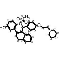 CS(=O)(=O)OC(C1=C(c2cccc(O)c2)CCc2ccccc21)c1ccc(OCCN2CCCCC2)cc1